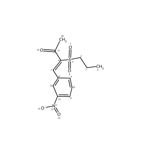 CCCS(=O)(=O)C(=Cc1cccc([N+](=O)[O-])c1)C(C)=O